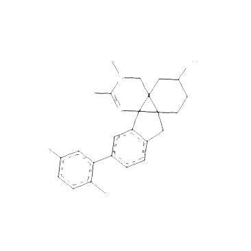 COC1CCC23Cc4ccc(-c5cc(F)ccc5C)cc4C24N=C(N)N(C)CC34C1